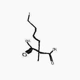 CC(CCCCI)(C(=O)O)C(=O)O